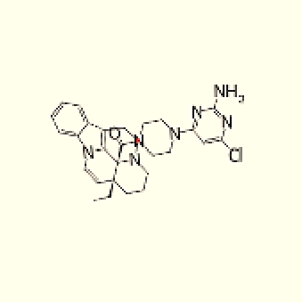 CC[C@]12C=Cn3c4c(c5ccccc53)CCN(CCC1)[C@@]42C(=O)N1CCN(c2cc(Cl)nc(N)n2)CC1